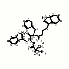 C=C(CCCc1c[nH]c2ccccc12)N(Cc1ccccc1)C(=C)[C@@H](Cc1c[nH]c2ccccc12)NC(=O)C(C)(C)N